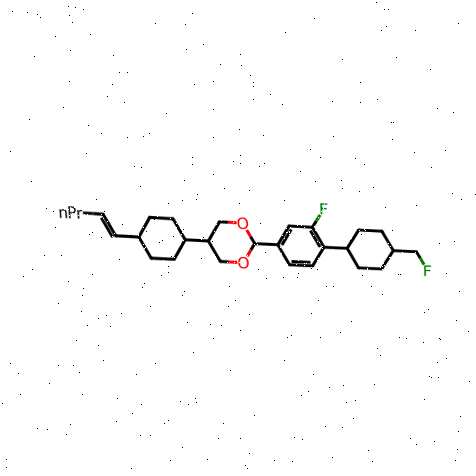 CCC/C=C/C1CCC(C2COC(c3ccc(C4CCC(CF)CC4)c(F)c3)OC2)CC1